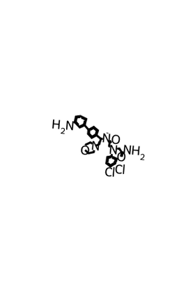 CN(C(=O)CN(CC(N)=O)c1ccc(Cl)c(Cl)c1)C(CN1CCOCC1)c1ccc(-c2cccc(N)c2)cc1